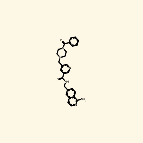 Nc1nccc2cc(CNC(=O)c3cncc(CN4CCN(C(=O)c5ccccc5)CC4)c3)ccc12